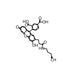 C#CCCCNC(=O)CCc1cc2c(-c3ccc(C(=O)O)cc3C(=O)O)c3ccc(=O)cc-3oc2cc1O